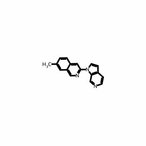 Cc1ccc2cc(-n3ccc4ccncc43)ncc2c1